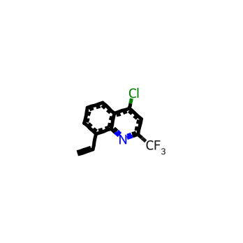 C=Cc1cccc2c(Cl)cc(C(F)(F)F)nc12